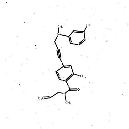 C=CCN(C)C(=O)c1ccc(C#CCN(C)c2cccc(C#N)c2)cc1C